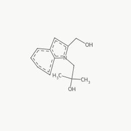 CC(C)(O)Cn1c(CO)cc2ccccc21